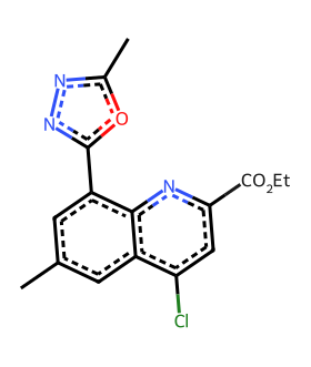 CCOC(=O)c1cc(Cl)c2cc(C)cc(-c3nnc(C)o3)c2n1